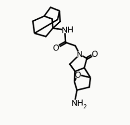 NC1CC2OC1C1CN(CC(=O)NC34CC5CC(CC(C5)C3)C4)C(=O)C21